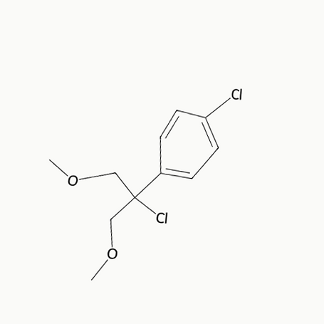 COCC(Cl)(COC)c1ccc(Cl)cc1